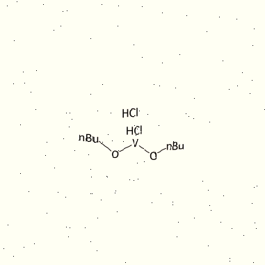 CCCC[O][V][O]CCCC.Cl.Cl